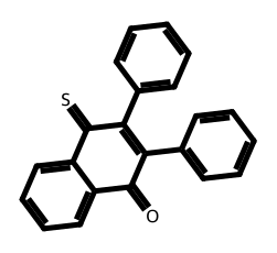 O=C1C(c2ccccc2)=C(c2ccccc2)C(=S)c2ccccc21